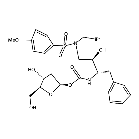 COc1ccc(S(=O)(=O)N(CC(C)C)C[C@@H](O)[C@H](Cc2ccccc2)NC(=O)O[C@@H]2C[C@@H](O)[C@H](CO)O2)cc1